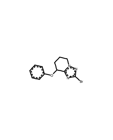 Brc1nc2n(n1)CCCC2Oc1ccccc1